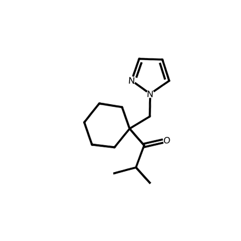 CC(C)C(=O)C1(Cn2cccn2)CCCCC1